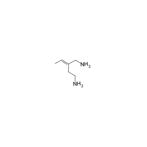 C/C=C(/CN)CCN